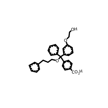 O=C(O)c1ccc(C(OCCCc2ccccc2)(c2ccccc2)c2cccc(OCCO)c2)cc1